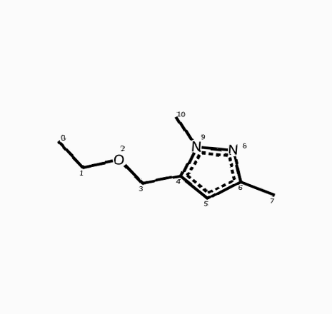 CCOCc1cc(C)nn1C